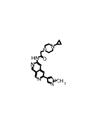 Cn1cc(-c2cc3cc(NC(=O)CN4CCN(C5CC5)CC4)ncc3cn2)cn1